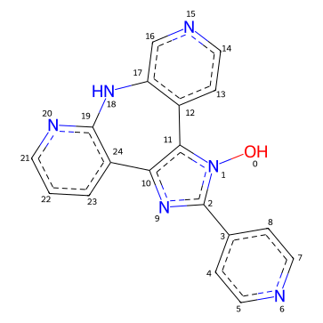 On1c(-c2ccncc2)nc2c1-c1ccncc1Nc1ncccc1-2